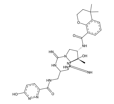 C[C@@H]1[C@@H](NC(=O)c2cccc3c2OCCC3(C)C)CN2C(=N)NC(CNC(=O)c3ccc(O)nn3)C3NC(=N)N(O)C312